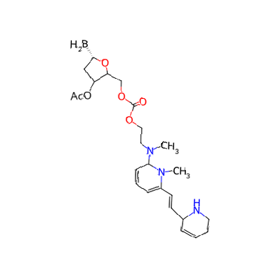 B[C@H]1CC(OC(C)=O)C(COC(=O)OCCN(C)C2C=CC=C(/C=C/C3C=CCCN3)N2C)O1